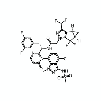 Cn1nc(NS(C)(=O)=O)c2c(Cl)ccc(-n3c([C@H](Cc4cc(F)cc(F)c4)NC(=O)Cn4nc(C(F)F)c5c4C(F)(F)[C@@H]4C[C@H]54)nccc3=O)c21